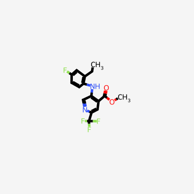 CCc1cc(F)ccc1Nc1cnc(C(F)(F)F)cc1C(=O)OC